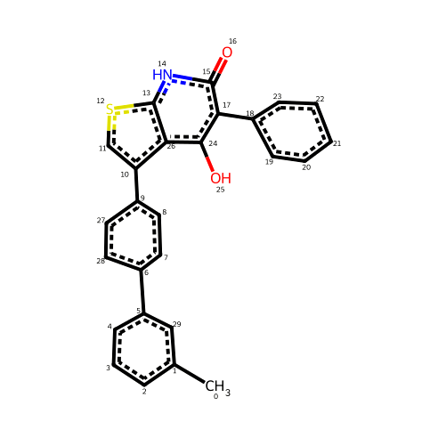 Cc1cccc(-c2ccc(-c3csc4[nH]c(=O)c(-c5ccccc5)c(O)c34)cc2)c1